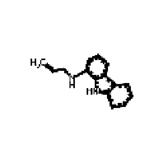 C=CCNc1cccc2c1[nH]c1ccccc12